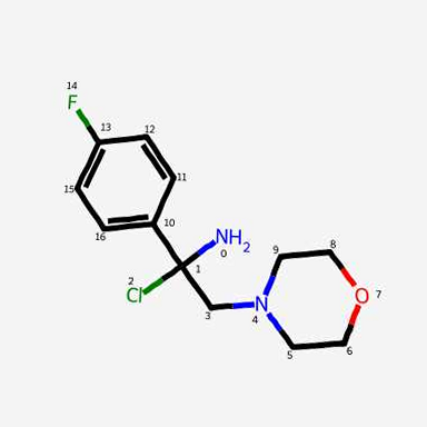 NC(Cl)(CN1CCOCC1)c1ccc(F)cc1